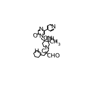 CC1(C)CN(C[C@](C)(C=O)CC2CCCCC2)CCC1(O)Cn1cc(-c2ccncc2)ncc1=O